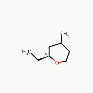 CC[C@H]1CC(C)CCO1